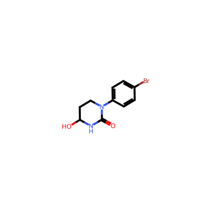 O=C1NC(O)CCN1c1ccc(Br)cc1